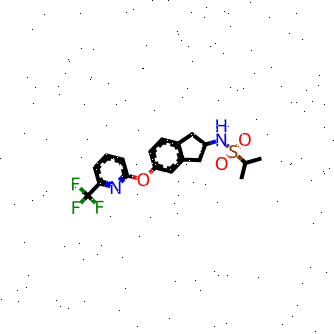 CC(C)S(=O)(=O)NC1Cc2ccc(Oc3cccc(C(F)(F)F)n3)cc2C1